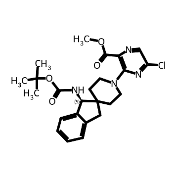 COC(=O)c1ncc(Cl)nc1N1CCC2(CC1)Cc1ccccc1[C@H]2NC(=O)OC(C)(C)C